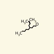 CCCCCC(CC=C(C)C)CCC=O